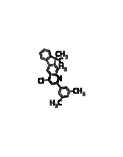 Cc1cc(C)cc(-c2cc(Cl)c3cc4c(cc3n2)C(C)(C)c2ccccc2-4)c1